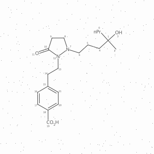 CCCC(C)(O)CCCN1CCC(=O)N1CCc1ccc(C(=O)O)cc1